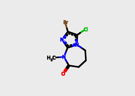 CN1C(=O)CCCn2c1nc(Br)c2Cl